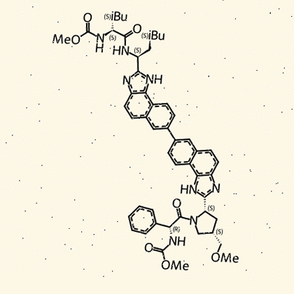 CC[C@H](C)C[C@H](NC(=O)[C@@H](NC(=O)OC)[C@@H](C)CC)c1nc2ccc3cc(-c4ccc5c(ccc6nc([C@@H]7C[C@H](COC)CN7C(=O)[C@H](NC(=O)OC)c7ccccc7)[nH]c65)c4)ccc3c2[nH]1